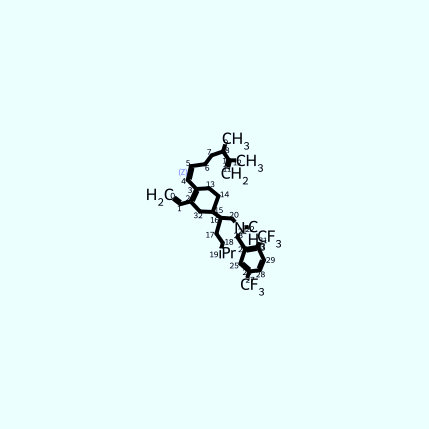 C=CC1=C(/C=C\CCC(C)C(=C)C)CCC(C(CCC(C)C)CN(C)Cc2cc(C(F)(F)F)ccc2C(F)(F)F)C1